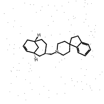 C1=C[C@H]2C[C@H](C1)CC[C@@H](CN1CCC3(CCc4ccccc43)CC1)C2